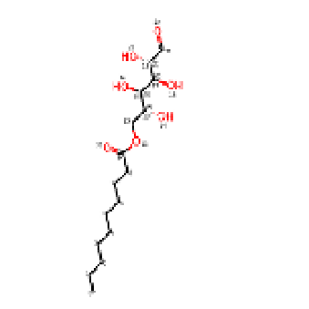 CCCCCCCCCC(=O)OC[C@@H](O)[C@@H](O)[C@H](O)[C@H](O)C=O